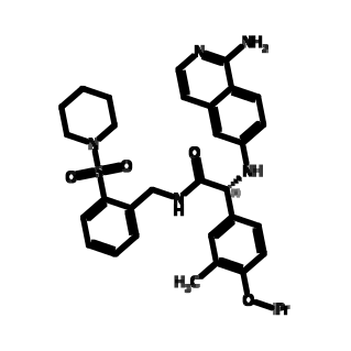 Cc1cc([C@@H](Nc2ccc3c(N)nccc3c2)C(=O)NCc2ccccc2S(=O)(=O)N2CCCCC2)ccc1OC(C)C